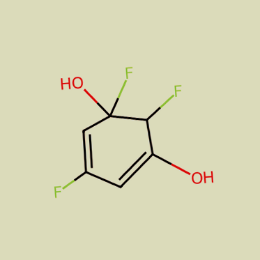 OC1=CC(F)=CC(O)(F)C1F